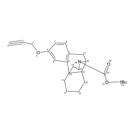 C#CCOc1ccc2c(c1)C13CCCCC1C(C2)N(C(=O)OC(C)(C)C)CC3